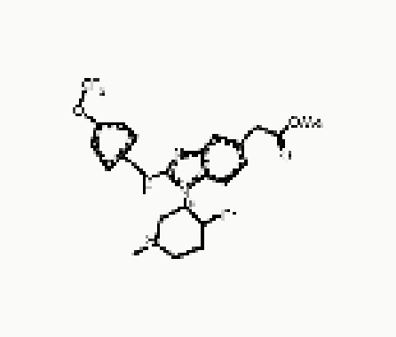 COC(=O)Cc1ccc2c(c1)nc(Nc1ccc(OC(F)(F)F)cc1)n2[C@@H]1C[C@H](C)CCC1C(C)C